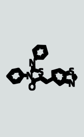 O=C1C(=Cc2ccc3scnc3c2)SC(=Nc2ccccc2)N1c1ccccc1